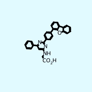 O=C(O)CNc1cc(-c2ccccc2)nc(-c2ccc(-c3cccc4c3oc3ccccc34)cc2)n1